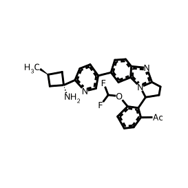 CC(=O)c1cccc(OC(F)F)c1C1CCc2nc3ccc(-c4ccc([C@]5(N)C[C@H](C)C5)nc4)cc3n21